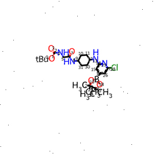 CC(C)(C)OC(=O)NCC(=O)NC1CCC(Nc2cc(B3OC(C)(C)C(C)(C)O3)cc(Cl)n2)CC1